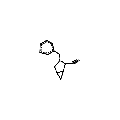 N#CC1C2CC2CN1Cc1ccccc1